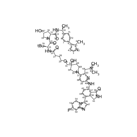 Cc1ncsc1-c1ccc([C@H](C)NC(=O)[C@@H]2C[C@@H](O)CN2C(=O)[C@@H](NC(=O)CCCOCC2(O)CCN(c3ccc(Nc4ccc(-c5cnc6cc(F)ccn56)c5c4C(=O)NC5)nc3CN(C)C)CC2)C(C)(C)C)cc1